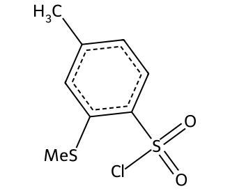 CSc1cc(C)ccc1S(=O)(=O)Cl